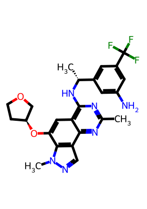 Cc1nc(N[C@H](C)c2cc(N)cc(C(F)(F)F)c2)c2cc(O[C@H]3CCOC3)c3c(cnn3C)c2n1